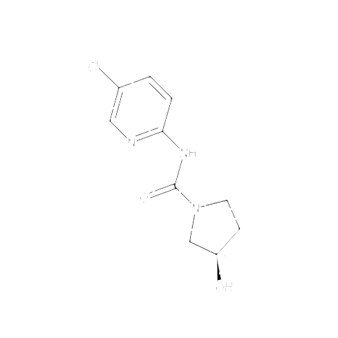 O=C(Nc1ccc(Cl)cn1)N1CC[C@@H](O)C1